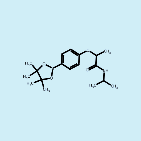 CC(C)NC(=O)C(C)Oc1ccc(B2OC(C)(C)C(C)(C)O2)cc1